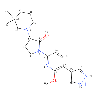 COc1nc(N2CCC(N3CCCC(C)(C)C3)C2=O)ccc1-c1cn[nH]c1